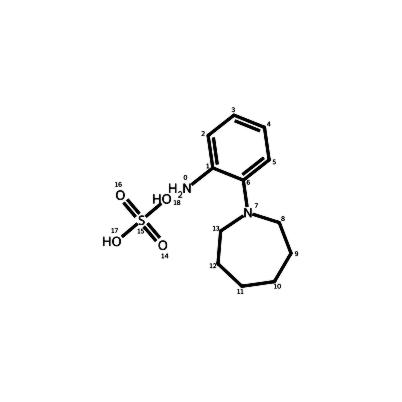 Nc1ccccc1N1CCCCCC1.O=S(=O)(O)O